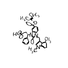 C/C=C(\C)OC(=O)c1ccc2c(c1)n([C@H](CC(=O)O)c1ccccc1)c(=O)n2Cc1cn(C)c2cccc(C)c12